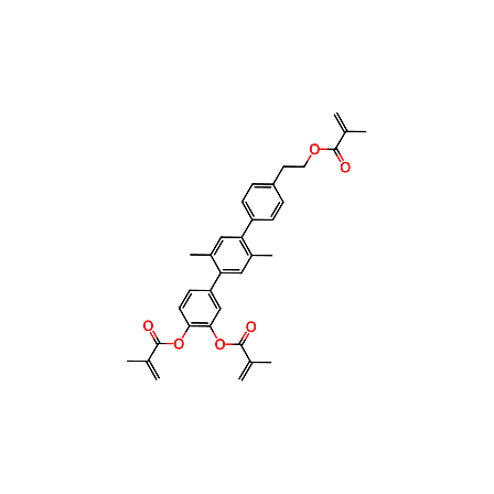 C=C(C)C(=O)OCCc1ccc(-c2cc(C)c(-c3ccc(OC(=O)C(=C)C)c(OC(=O)C(=C)C)c3)cc2C)cc1